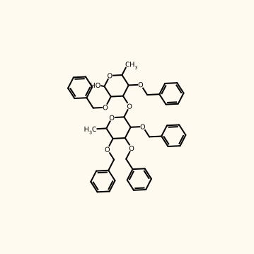 CC1OC(O)C(OCc2ccccc2)C(OC2OC(C)C(OCc3ccccc3)C(OCc3ccccc3)C2OCc2ccccc2)C1OCc1ccccc1